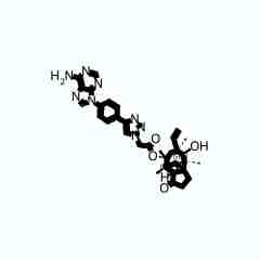 C=C[C@]1(C)C[C@@H](OC(=O)Cn2cc(-c3ccc(-n4cnc5c(N)ncnc54)cc3)nn2)[C@]2(C)[C@H](C)CC[C@]3(CCC(=O)[C@H]32)[C@@H](C)[C@@H]1O